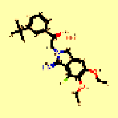 Br.CCOc1cc2c(c(F)c1OCC)C(=N)N(CC(=O)c1cccc(C(C)(C)C)c1)C2